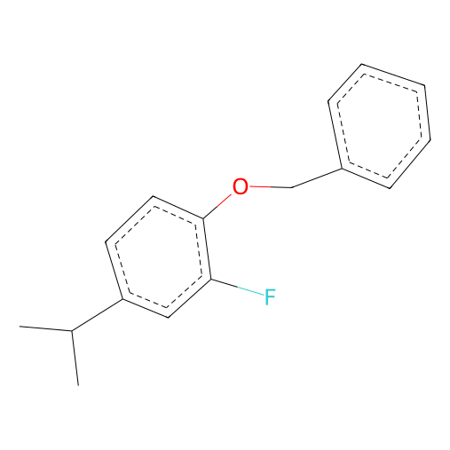 CC(C)c1ccc(OCc2ccccc2)c(F)c1